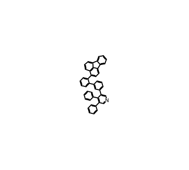 c1ccc(-c2cncc(-c3cccc(-c4ccccc4-c4ccc5c6c(cccc46)-c4ccccc4-5)c3)c2-c2ccccc2)cc1